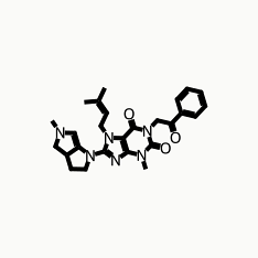 CC(C)=CCn1c(N2CCC3CN(C)C=C32)nc2c1c(=O)n(CC(=O)c1ccccc1)c(=O)n2C